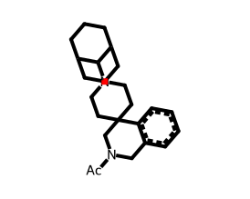 CC(=O)N1Cc2ccccc2C2(CCN(C3C4CCCC3CCC4)CC2)C1